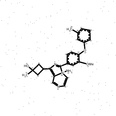 COc1cc(C2=NC(C3CC(C)(O)C3)=C3C=NC=C[N+]23N)ccc1Oc1cccc(C)c1